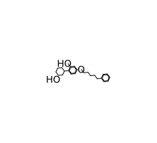 Oc1cc(OCCCCCc2ccccc2)ccc1C1CCCC(O)C1